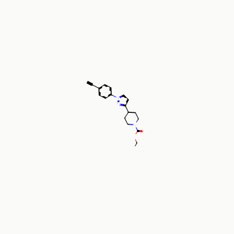 C#Cc1ccc(-n2ccc(C3CCN(C(=O)O[C@H](CC)C(F)(F)F)CC3)n2)cc1